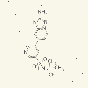 CC(C)(NS(=O)(=O)c1cncc(-c2ccn3nc(N)nc3c2)c1)C(F)(F)F